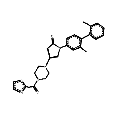 Cc1ccccc1-c1ccc(N2CC(N3CCN(C(=O)c4nccs4)CC3)CC2=O)cc1C